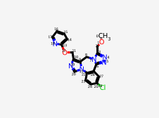 COCc1nnc2n1Cc1c(COc3ccccn3)ncn1-c1ccc(Cl)cc1-2